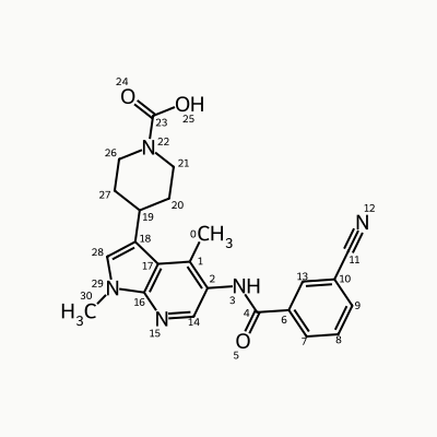 Cc1c(NC(=O)c2cccc(C#N)c2)cnc2c1c(C1CCN(C(=O)O)CC1)cn2C